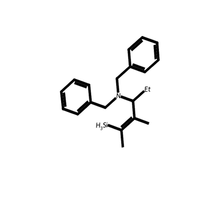 CCC(C(C)=C(C)[SiH3])N(Cc1ccccc1)Cc1ccccc1